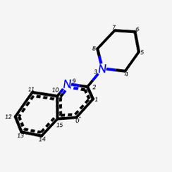 [c]1cc(N2CCCCC2)nc2ccccc12